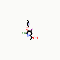 C/C=C/COc1c(I)cc(C(C)O)nc1Cl